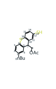 CCCCc1ccc2c(c1)C(COC(C)=O)c1cc(S)ccc1S2